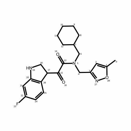 Cc1cc(CN(CC2CCCCC2)C(=O)C(=O)C2CNc3cc(F)ccc32)no1